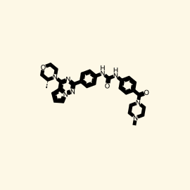 C[C@@H]1COCCN1c1nc(-c2ccc(NC(=O)Nc3ccc(C(=O)N4CCN(C)CC4)cc3)cc2)nn2cccc12